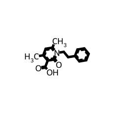 Cc1cc(C)n(CCc2ccccc2)c(=O)c1C(=O)O